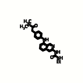 CCNC(=O)Nc1cc2cccc(Nc3ccc(CC(=O)N(C)C)cc3)c2cn1